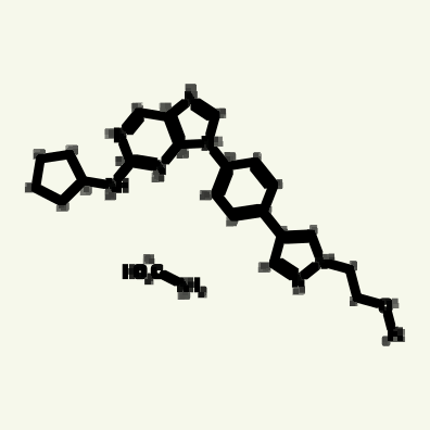 CCOCCn1cc(-c2ccc(-n3cnc4cnc(NC5CCCC5)nc43)cc2)cn1.NC(=O)O